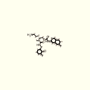 CN(C(=O)NCc1cccc(F)c1Cl)[C@H](CCCN)COC(=O)Nc1cc2cc(F)ccc2cn1